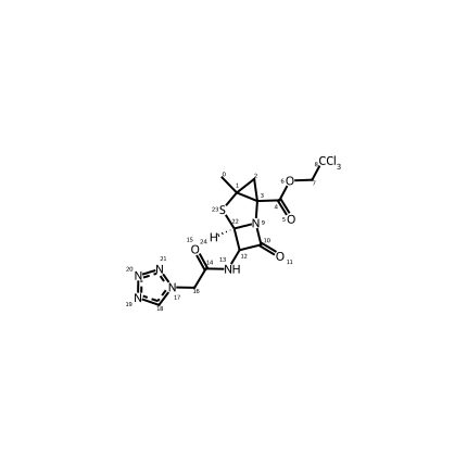 CC12CC1(C(=O)OCC(Cl)(Cl)Cl)N1C(=O)C(NC(=O)Cn3cnnn3)[C@H]1S2